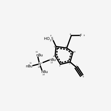 C#Cc1ccc(S(=O)(=O)O)c(CF)c1.CCCC[N+](CCCC)(CCCC)CCCC